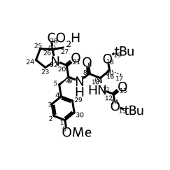 COc1ccc(C[C@H](NC(=O)[C@@H](NC(=O)OC(C)(C)C)[C@@H](C)OC(C)(C)C)C(=O)N2CCC[C@@]2(C)C(=O)O)cc1